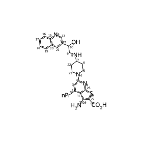 CCCc1cc(N2CCC(NCC(O)c3cnc4ccccc4c3)CC2)nc2sc(C(=O)O)c(N)c12